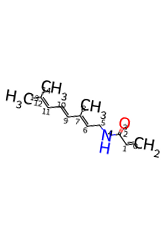 C=CC(=O)NC/C=C(\C)C=CC=C(C)C